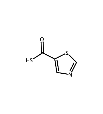 O=C(S)c1cncs1